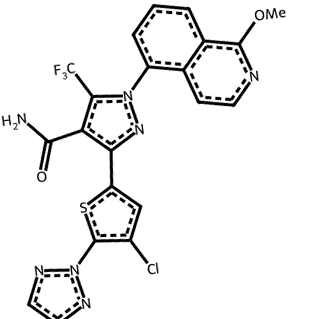 COc1nccc2c(-n3nc(-c4cc(Cl)c(-n5nccn5)s4)c(C(N)=O)c3C(F)(F)F)cccc12